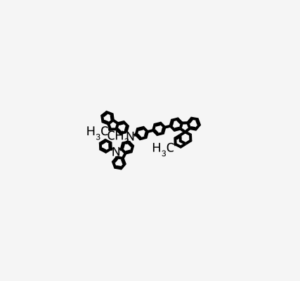 CC1C=C2CC(CCC23c2ccccc2-c2ccc(-c4ccc(-c5ccc(N(c6ccc7c(c6)C(C)(C)c6ccccc6-7)c6ccc7c8ccccc8n(-c8ccccc8)c7c6)cc5)cc4)cc23)C1